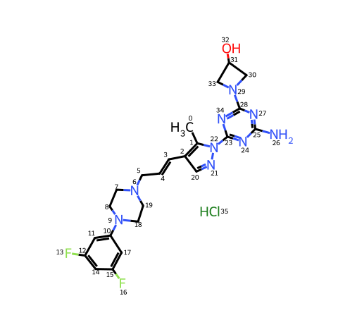 Cc1c(/C=C/CN2CCN(c3cc(F)cc(F)c3)CC2)cnn1-c1nc(N)nc(N2CC(O)C2)n1.Cl